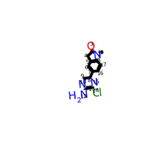 CN1C(=O)Cc2cc(-c3cnc(N)c(Cl)n3)ccc21